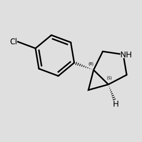 Clc1ccc([C@]23CNC[C@H]2C3)cc1